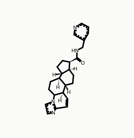 O=C(NCc1cccnc1)[C@@H]1CC[C@H]2[C@@H]3CCC4[C@H](C=Cc5nccn54)[C@H]3CC[C@@H]21